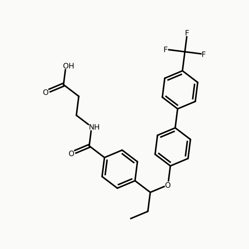 CCC(Oc1ccc(-c2ccc(C(F)(F)F)cc2)cc1)c1ccc(C(=O)NCCC(=O)O)cc1